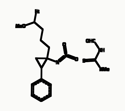 CCC(CCCC1(N=S(=O)=O)CC1c1ccccc1)OC.CNC(=S)NC=O